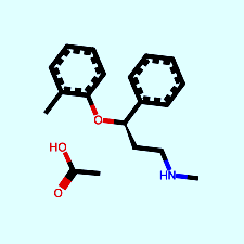 CC(=O)O.CNCC[C@@H](Oc1ccccc1C)c1ccccc1